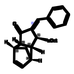 CCCCCCCC[C@@H]1/C(=C\c2ccccc2)C(=O)[C@@H]2[C@H]1[C@H]1C=C[C@@H]2C1